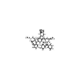 CC(C)(C)c1cc2c3c(c1)Oc1c(cc4c5c1c1cc(C(C)(C)C)ccc1n5-c1cc(C(C)(C)C)cc5c1B4c1ccccc1N5c1ccccc1)B3c1ccccc1O2